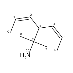 C/C=C\C(/C=C\C)C(C)(C)N